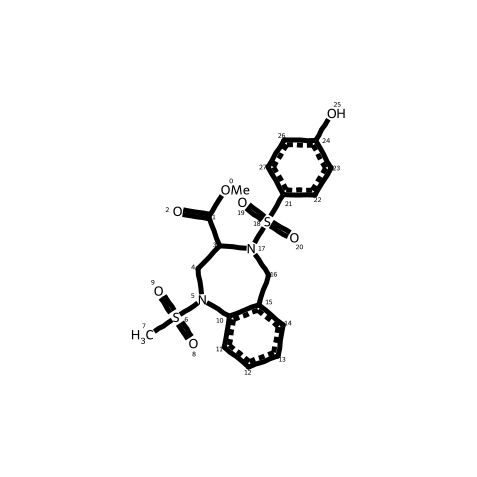 COC(=O)C1CN(S(C)(=O)=O)c2ccccc2CN1S(=O)(=O)c1ccc(O)cc1